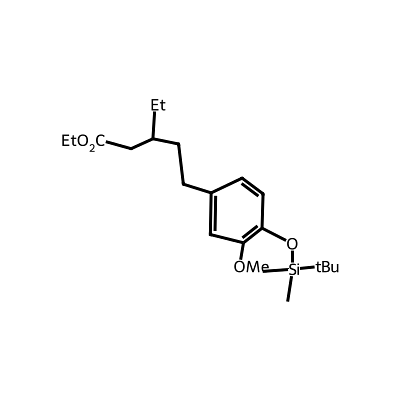 CCOC(=O)CC(CC)CCc1ccc(O[Si](C)(C)C(C)(C)C)c(OC)c1